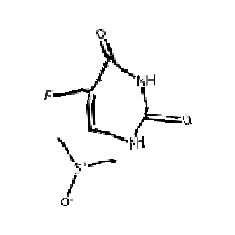 C[S+](C)[O-].O=c1[nH]cc(F)c(=O)[nH]1